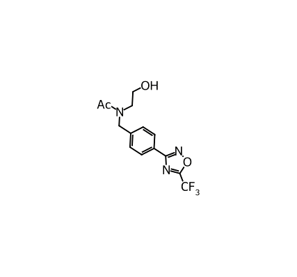 CC(=O)N(CCO)Cc1ccc(-c2noc(C(F)(F)F)n2)cc1